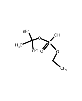 CCCC(C)(CCC)OP(=O)(O)OCC(F)(F)F